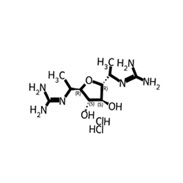 CC(N=C(N)N)[C@H]1O[C@H](C(C)N=C(N)N)[C@@H](O)[C@@H]1O.Cl.Cl